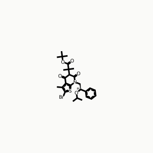 Cc1c(Br)sc2c1C(=O)C(C(C)(C)C(=O)OC(C)(C)C)C(=O)N2C[C@H](OC(C)C)c1ccccc1